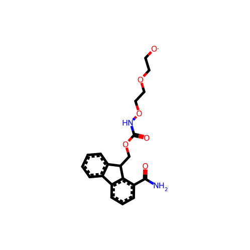 NC(=O)c1cccc2c1C(COC(=O)NOCCOCC[O])c1ccccc1-2